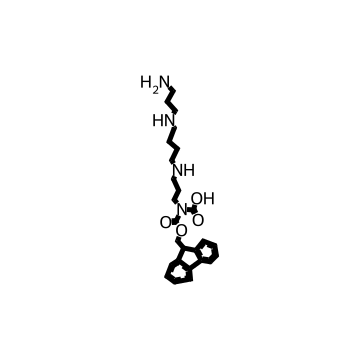 NCCCNCCCCNCCCN(C(=O)O)C(=O)OCC1c2ccccc2-c2ccccc21